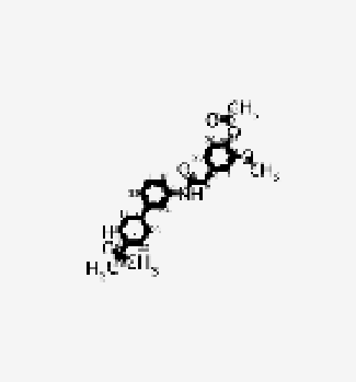 COc1cc(CC(=O)Nc2cccc(C3CCC(C(C)(C)C)CC3)c2)ccc1OC(C)=O